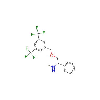 CNC(COCc1cc(C(F)(F)F)cc(C(F)(F)F)c1)c1ccccc1